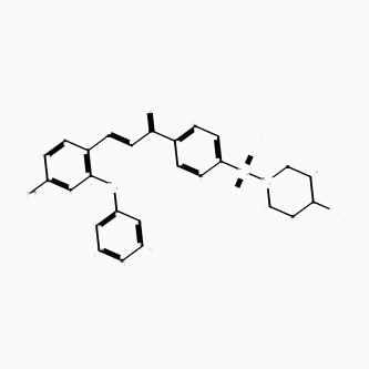 O=C(C=Cc1ccc(Cl)cc1Nc1ccccc1)c1ccc(S(=O)(=O)N2CCC(O)CC2)cc1